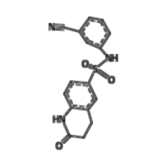 N#Cc1cccc(NS(=O)(=O)c2ccc3c(c2)CCC(=O)N3)c1